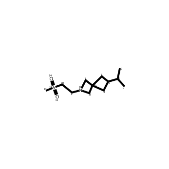 CC(C)C1CC2(C1)CN(CCS(C)(=O)=O)C2